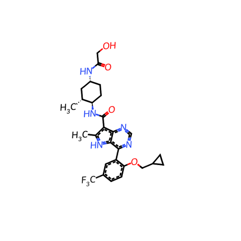 Cc1[nH]c2c(-c3cc(C(F)(F)F)ccc3OCC3CC3)ncnc2c1C(=O)N[C@@H]1CC[C@@H](NC(=O)CO)C[C@H]1C